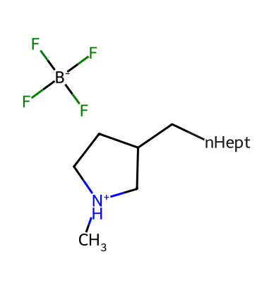 CCCCCCCCC1CC[NH+](C)C1.F[B-](F)(F)F